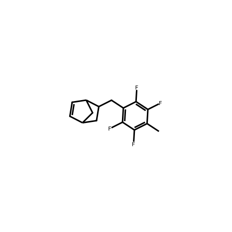 Cc1c(F)c(F)c(CC2CC3C=CC2C3)c(F)c1F